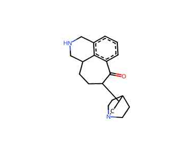 O=C1c2cccc3c2C(CCC1C1CN2CCC1CC2)CNC3